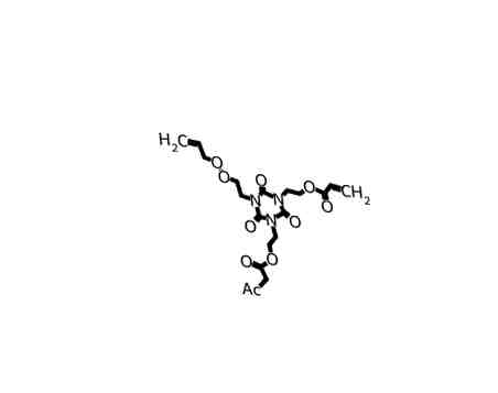 C=CCOOCCn1c(=O)n(CCOC(=O)C=C)c(=O)n(CCOC(=O)CC(C)=O)c1=O